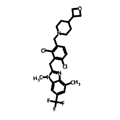 Cc1cc(C(F)(F)F)cc2c1nc(Cc1c(Cl)ccc(CN3CCC(C4COC4)CC3)c1Cl)n2C